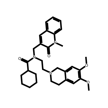 COc1cc2c(cc1OC)CN(CCN(Cc1cc3ccccc3n(C)c1=O)C(=O)C1CCCCC1)CC2